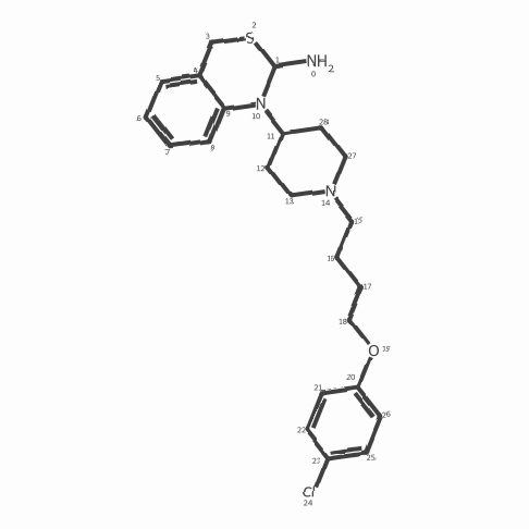 NC1SCc2ccccc2N1C1CCN(CCCCOc2ccc(Cl)cc2)CC1